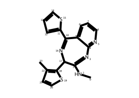 CNC1=Nc2ncccc2C(c2cccs2)=NC1c1sccc1C